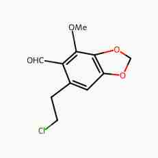 COc1c(C=O)c(CCCl)cc2c1OCO2